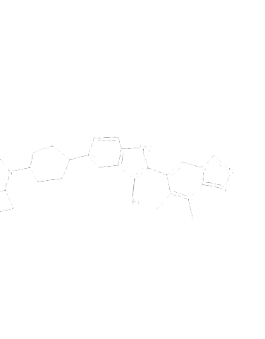 Cc1c(-c2[nH]c3ccc(C4CCC(N(C)C5COC5)CC4)cc3c2C(C)C)cn2cnnc2c1C